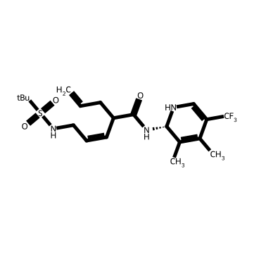 C=CCC(/C=C\CNS(=O)(=O)C(C)(C)C)C(=O)N[C@@H]1NC=C(C(F)(F)F)C(C)=C1C